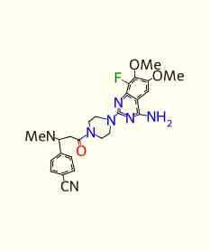 CNC(CC(=O)N1CCN(c2nc(N)c3cc(OC)c(OC)c(F)c3n2)CC1)c1ccc(C#N)cc1